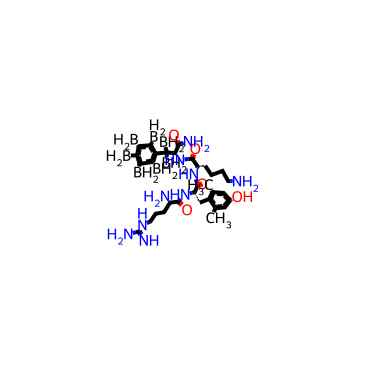 Bc1c(B)c(B)c(C(B)(B)[C@H](NC(=O)[C@H](CCCCN)NC(=O)[C@H](Cc2c(C)cc(O)cc2C)NC(=O)[C@H](N)CCCNC(=N)N)C(N)=O)c(B)c1B